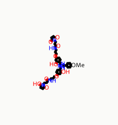 COc1ccc(-c2nc(-c3ccc(OCCCNC(=O)CCN4C(=O)C=CC4=O)cc3O)nc(-c3ccc(OCCCNC(=O)CCN4C(=O)C=CC4O)cc3O)n2)cc1